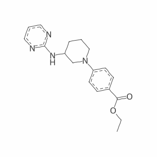 CCOC(=O)c1ccc(N2CCCC(Nc3ncccn3)C2)cc1